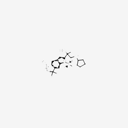 CC(O)(CSC1CCCC1)c1cc2cc([N+](=O)[O-])c(C(F)(F)F)cc2n1S(C)(=O)=O